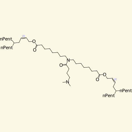 CCCCCC(C/C=C\COC(=O)CCCCCCCN(CCCCCCCC(=O)OC/C=C\CC(CCCCC)CCCCC)C(=O)CCCN(C)C)CCCCC